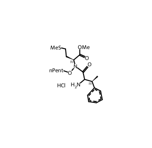 CCCCCON(C(=O)C(N)[C@@H](C)c1ccccc1)[C@@H](CCSC)C(=O)OC.Cl